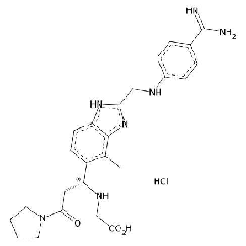 Cc1c([C@@H](CC(=O)N2CCCC2)NCC(=O)O)ccc2[nH]c(CNc3ccc(C(=N)N)cc3)nc12.Cl